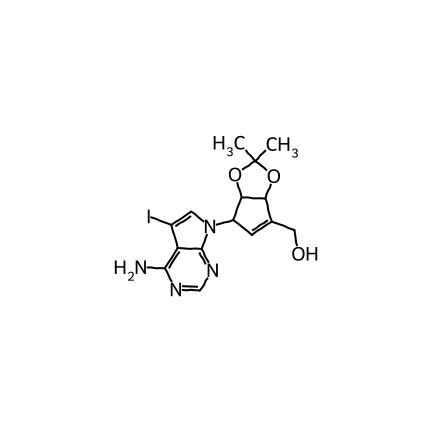 CC1(C)OC2C(CO)=CC(n3cc(I)c4c(N)ncnc43)C2O1